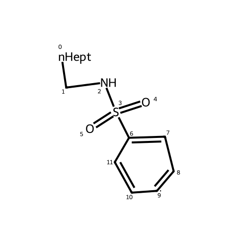 CCCCCCCCNS(=O)(=O)c1cc[c]cc1